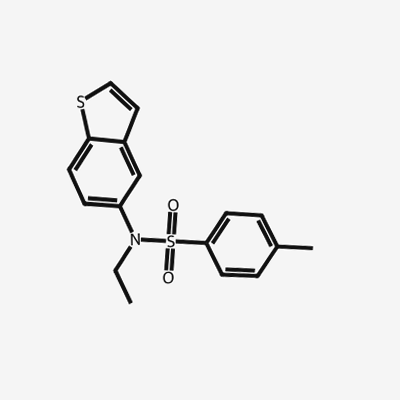 CCN(c1ccc2sccc2c1)S(=O)(=O)c1ccc(C)cc1